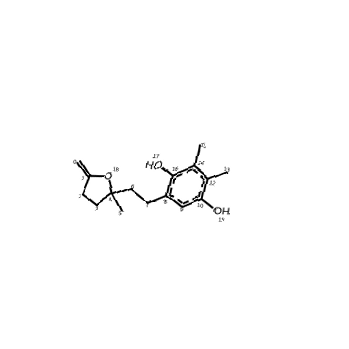 C=C1CCC(C)(CCc2cc(O)c(C)c(C)c2O)O1